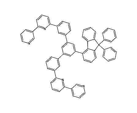 c1ccc(C2(c3ccccc3)c3ccccc3-c3c(-c4cc(-c5cccc(-c6cccc(-c7cccnc7)n6)c5)cc(-c5cccc(-c6cccc(-c7cccnc7)n6)c5)c4)cccc32)cc1